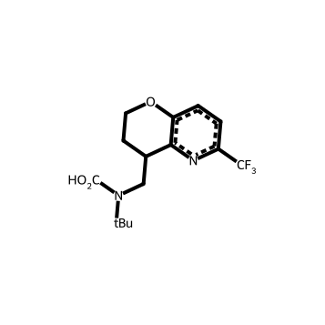 CC(C)(C)N(CC1CCOc2ccc(C(F)(F)F)nc21)C(=O)O